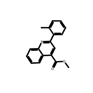 COC(=O)c1cc(-c2ccccc2C)nc2ccccc12